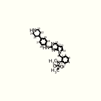 CN(c1ccccc1Cn1ccc2cnc(Nc3ccc(C4CCNCC4)cc3)nc21)S(C)(=O)=O